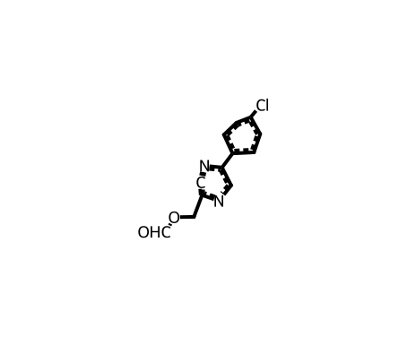 O=COCc1cnc(-c2ccc(Cl)cc2)cn1